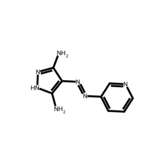 Nc1n[nH]c(N)c1N=Nc1cccnc1